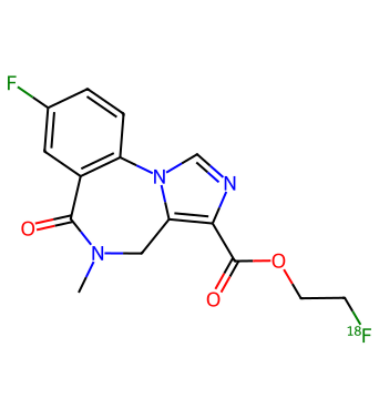 CN1Cc2c(C(=O)OCC[18F])ncn2-c2ccc(F)cc2C1=O